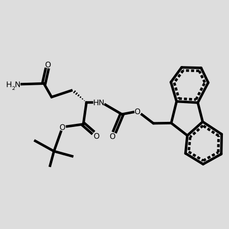 CC(C)(C)OC(=O)[C@H](CCC(N)=O)NC(=O)OCC1c2ccccc2-c2ccccc21